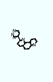 c1cnc2ccc3ccc(-c4ccnnn4)nc3c2c1